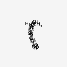 CC(C)(C)OC(=O)N1CCC(c2nc(COc3ccc(C4COS(=O)(=O)OC4)cc3)cs2)CC1